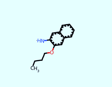 CCCCOc1cc2ccccc2cc1[NH]